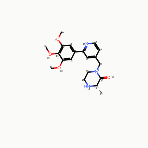 COc1cc(-c2cc(CN3CCN[C@@H](C)C3=O)ccn2)cc(OC)c1OC